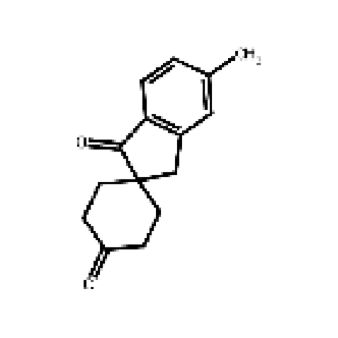 Cc1ccc2c(c1)CC1(CCC(=O)CC1)C2=O